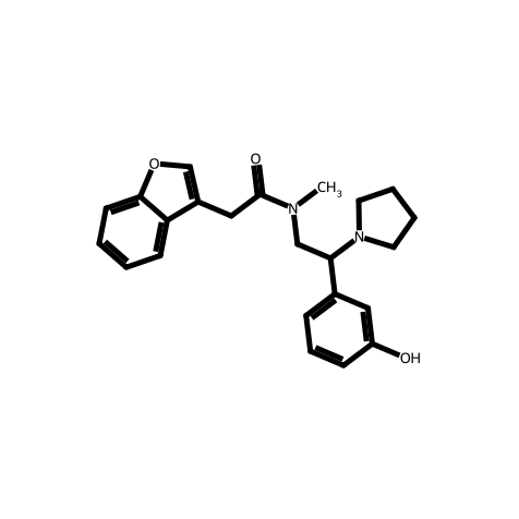 CN(CC(c1cccc(O)c1)N1CCCC1)C(=O)Cc1coc2ccccc12